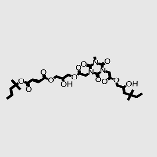 CCCC(C)(C)OC(=O)/C=C/C(=O)OCC(O)COC(=O)Cn1c(=O)n(C)c(=O)n(CC(=O)OCC(O)CC(C)(C)CC)c1=O